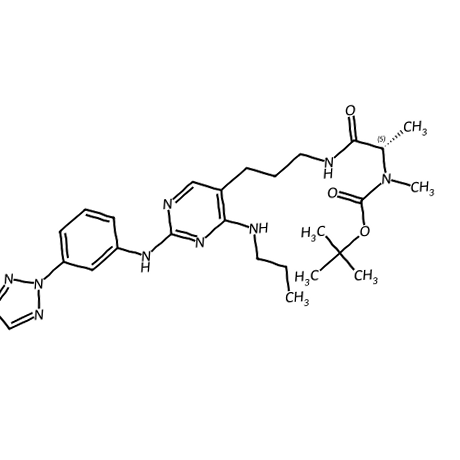 CCCNc1nc(Nc2cccc(-n3nccn3)c2)ncc1CCCNC(=O)[C@H](C)N(C)C(=O)OC(C)(C)C